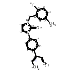 C=C/C(=C\C)c1ccc(-n2ccn(Cc3cc(C)ccc3F)c2=O)cc1